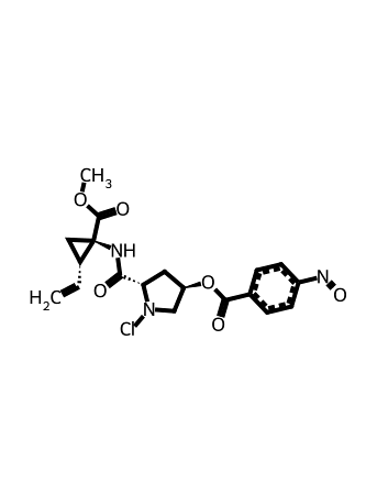 C=C[C@@H]1C[C@]1(NC(=O)[C@@H]1C[C@@H](OC(=O)c2ccc(N=O)cc2)CN1Cl)C(=O)OC